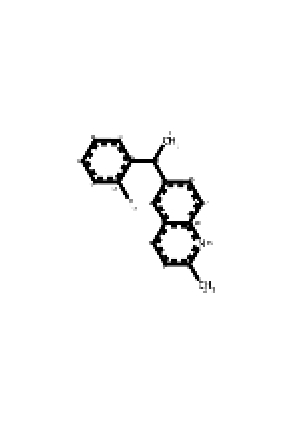 Cc1ccc2cc(C(C)c3ccccc3F)ccc2n1